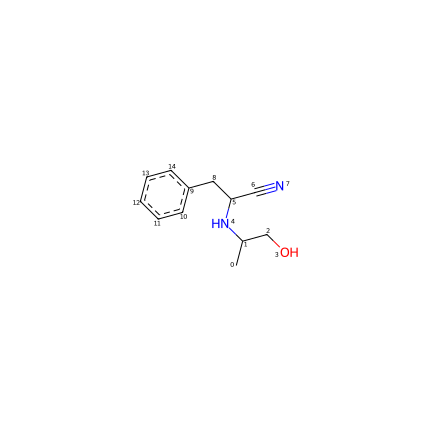 CC(CO)NC(C#N)Cc1ccccc1